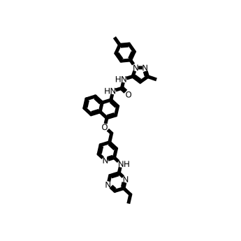 CCc1cncc(Nc2cc(COc3ccc(NC(=O)Nc4cc(C)nn4-c4ccc(C)cc4)c4ccccc34)ccn2)n1